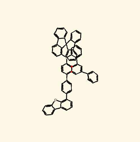 c1ccc(-c2cccc(-c3ccccc3N(c3ccc(-c4ccc(-c5cccc6c5oc5ccccc56)cc4)cc3)c3cccc4c3C3(c5ccccc5-c5ccccc53)c3ccccc3-4)c2)cc1